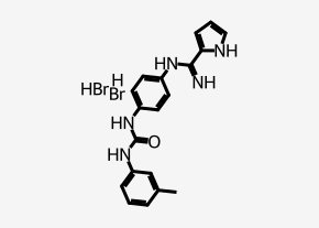 Br.Br.Cc1cccc(NC(=O)Nc2ccc(NC(=N)c3ccc[nH]3)cc2)c1